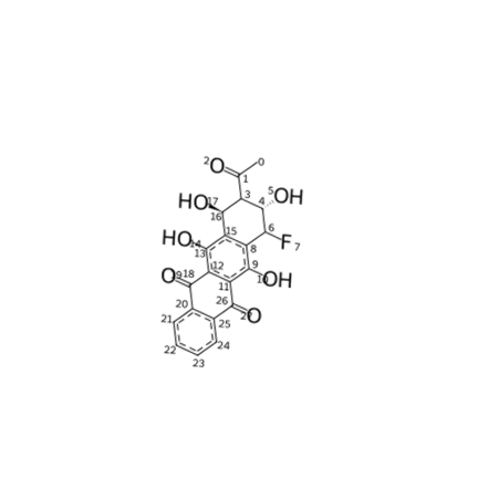 CC(=O)C1[C@H](O)C(F)c2c(O)c3c(c(O)c2[C@H]1O)C(=O)c1ccccc1C3=O